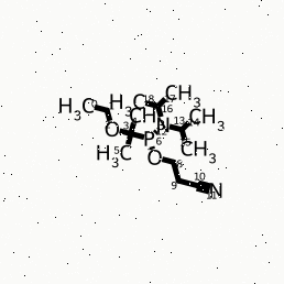 CCOC(C)(C)P(OCCC#N)N(C(C)C)C(C)C